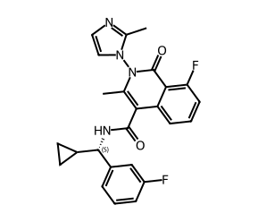 Cc1nccn1-n1c(C)c(C(=O)N[C@H](c2cccc(F)c2)C2CC2)c2cccc(F)c2c1=O